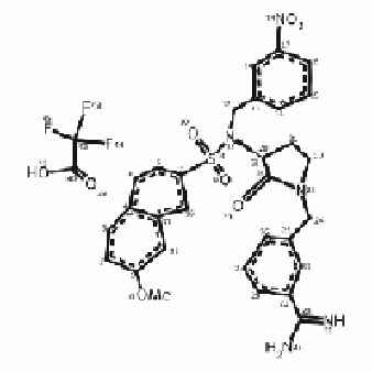 COc1ccc2ccc(S(=O)(=O)N(Cc3cccc([N+](=O)[O-])c3)[C@H]3CCN(Cc4cccc(C(=N)N)c4)C3=O)cc2c1.O=C(O)C(F)(F)F